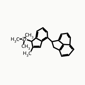 CC1=Cc2c(C3Cc4cccc5cccc3c45)cccc2[CH]1[Zr]([CH3])([CH3])[CH3]